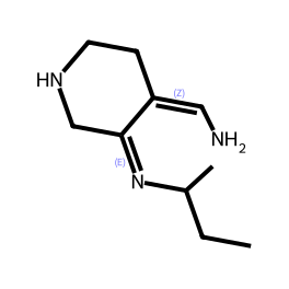 CCC(C)/N=C1/CNCC/C1=C/N